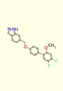 COc1cc(F)c(F)cc1-c1ccc(OCc2ccc3cn[nH]c3c2)cc1